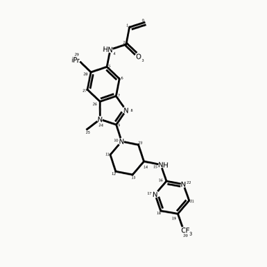 C=CC(=O)Nc1cc2nc(N3CCCC(Nc4ncc(C(F)(F)F)cn4)C3)n(C)c2cc1C(C)C